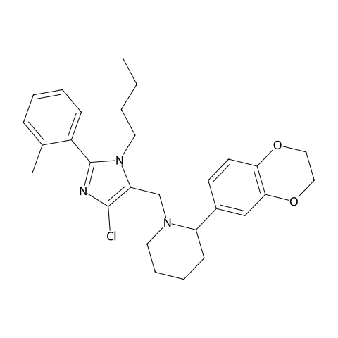 CCCCn1c(-c2ccccc2C)nc(Cl)c1CN1CCCCC1c1ccc2c(c1)OCCO2